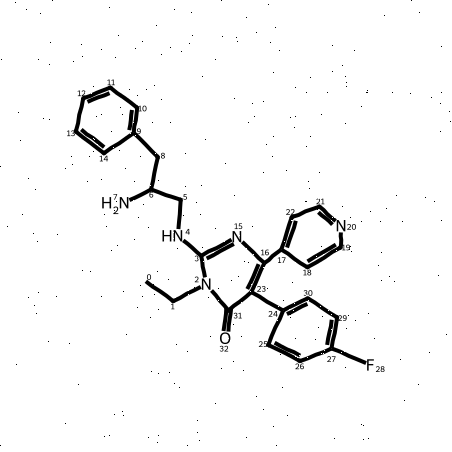 CCn1c(NCC(N)Cc2ccccc2)nc(-c2ccncc2)c(-c2ccc(F)cc2)c1=O